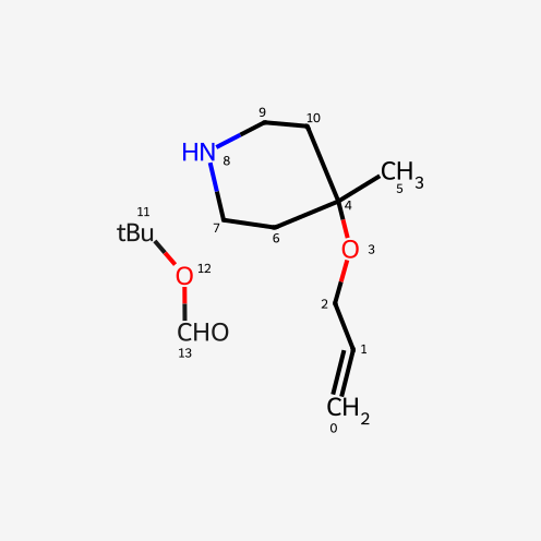 C=CCOC1(C)CCNCC1.CC(C)(C)OC=O